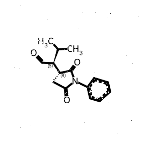 CC(C)[C@H](C=O)[C@H]1CC(=O)N(c2ccccc2)C1=O